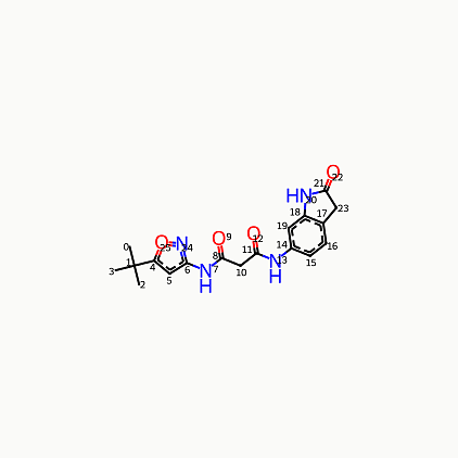 CC(C)(C)c1cc(NC(=O)CC(=O)Nc2ccc3c(c2)NC(=O)C3)no1